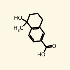 CC1(O)CCCc2cc(C(=O)O)ccc21